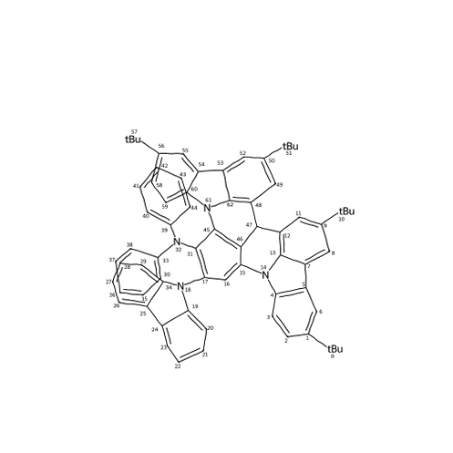 CC(C)(C)c1ccc2c(c1)c1cc(C(C)(C)C)cc3c1n2-c1cc(-n2c4ccccc4c4ccccc42)c(N(c2ccccc2)c2ccccc2)c2c1C3c1cc(C(C)(C)C)cc3c4cc(C(C)(C)C)ccc4n-2c13